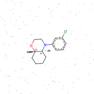 Clc1cccc(N2CCO[C@H]3CCCC[C@@H]32)c1